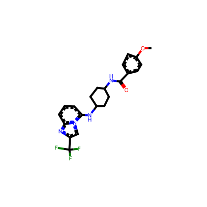 COc1ccc(C(=O)NC2CCC(Nc3cccc4nc(C(F)(F)F)cn34)CC2)cc1